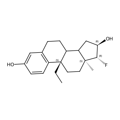 CC[C@]12CC[C@@]3(C)C(C[C@@H](O)[C@@H]3F)C1CCc1cc(O)ccc12